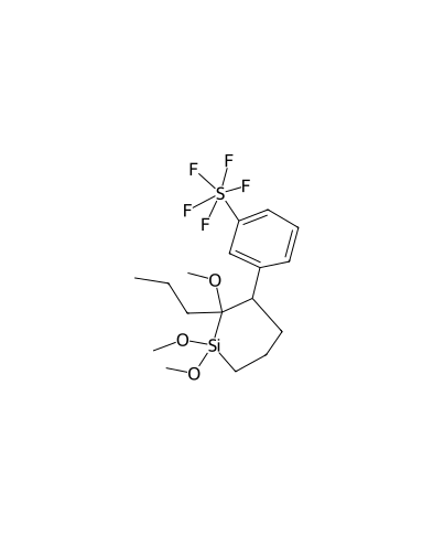 CCCC1(OC)C(c2cccc(S(F)(F)(F)(F)F)c2)CCC[Si]1(OC)OC